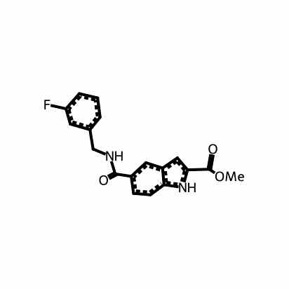 COC(=O)c1cc2cc(C(=O)NCc3cccc(F)c3)ccc2[nH]1